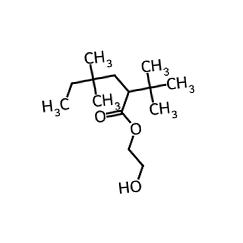 CCC(C)(C)CC(C(=O)OCCO)C(C)(C)C